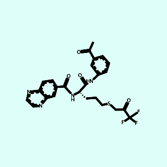 CC(=O)c1cccc(NC(=O)[C@H](CCCSCC(=O)C(F)(F)F)NC(=O)c2ccc3nccnc3c2)c1